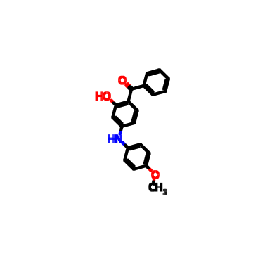 COc1ccc(Nc2ccc(C(=O)c3ccccc3)c(O)c2)cc1